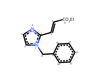 CCOC(=O)/C=C/c1nccn1Cc1ccccc1